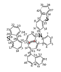 c1cc(-c2ccccc2N(c2ccc(-c3cccc4sc5ccccc5c34)cc2)c2ccc3c(c2)sc2ccccc23)cc(-c2cccc3ccccc23)c1